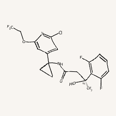 C[C@](O)(CC(=O)NC1(c2cc(Cl)nc(OCC(F)(F)F)c2)CC1)c1c(F)cccc1F